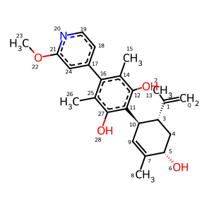 C=C(C)[C@@H]1C[C@H](O)C(C)=C[C@H]1c1c(O)c(C)c(-c2ccnc(OC)c2)c(C)c1O